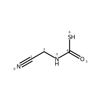 N#CCNC(=O)S